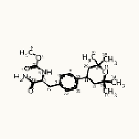 COC(=O)N[C@@H](Cc1ccc(C2CC(C)(C)OC(C)(C)C2)cc1)C(N)=O